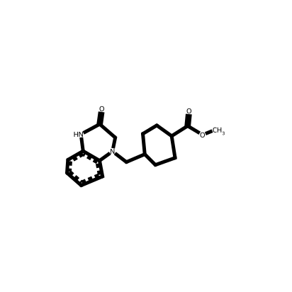 COC(=O)C1CCC(CN2CC(=O)Nc3ccccc32)CC1